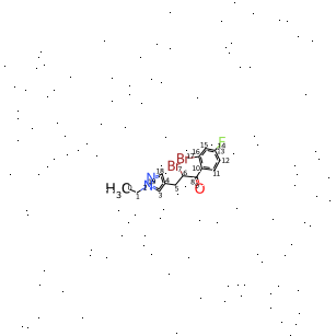 CCn1cc(CC(Br)C(=O)c2ccc(F)cc2Br)cn1